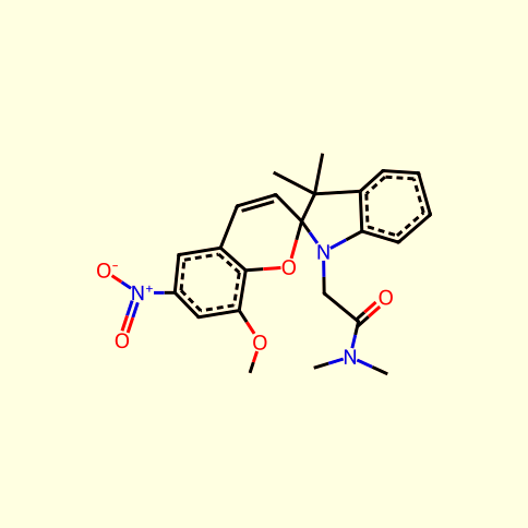 COc1cc([N+](=O)[O-])cc2c1OC1(C=C2)N(CC(=O)N(C)C)c2ccccc2C1(C)C